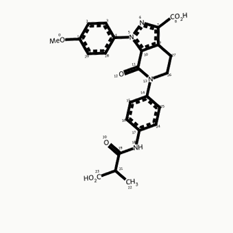 COc1ccc(-n2nc(C(=O)O)c3c2C(=O)N(c2ccc(NC(=O)C(C)C(=O)O)cc2)CC3)cc1